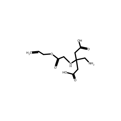 C=CCOC(=O)CNC(CN)(CC(=O)O)CC(=O)O